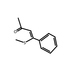 CSC(=CC(C)=O)c1ccccc1